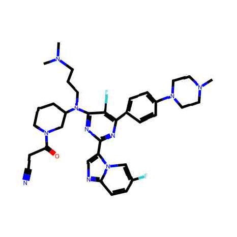 CN(C)CCCN(c1nc(-c2cnc3ccc(F)cn23)nc(-c2ccc(N3CCN(C)CC3)cc2)c1F)C1CCCN(C(=O)CC#N)C1